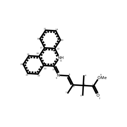 COC(=O)C(C)(C)/C(C)=C/N=c1\[nH]c2ccccc2c2ccccc12